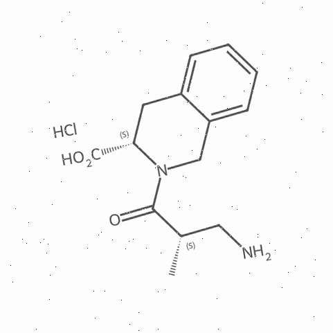 C[C@@H](CN)C(=O)N1Cc2ccccc2C[C@H]1C(=O)O.Cl